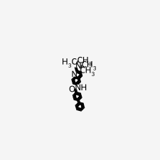 CC(C)N(Cc1ccc2cc(NC(=O)c3ccc(-c4ccccc4)cc3)ccc2n1)C(C)C